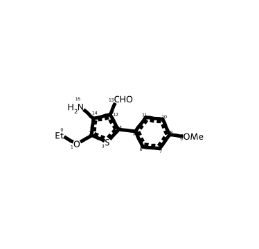 CCOc1sc(-c2ccc(OC)cc2)c(C=O)c1N